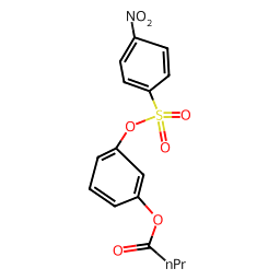 CCCC(=O)Oc1cccc(OS(=O)(=O)c2ccc([N+](=O)[O-])cc2)c1